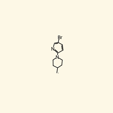 [CH2]C1CCN(c2ccc(Br)cn2)CC1